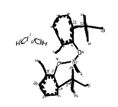 Cl.Cl.[CH2]=[Ti]([O]c1c(C)cccc1C(C)(C)C)[O]c1c(C)cccc1C(C)(C)C